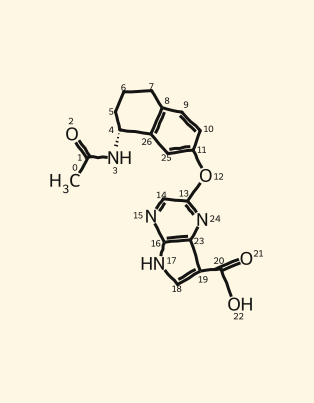 CC(=O)N[C@@H]1CCCc2ccc(Oc3cnc4[nH]cc(C(=O)O)c4n3)cc21